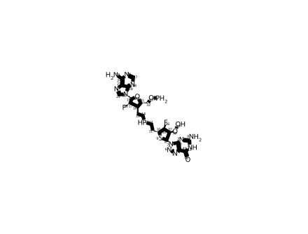 Nc1nc2c(nnn2[C@@H]2S[C@H](CCPCC[C@H]3[C@H](F)[C@H](n4cnc5c(N)ncnc54)O[C@@H]3COP)[C@@H](F)[C@H]2OO)c(=O)[nH]1